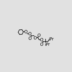 CC(C)CC(C)(C(=O)OCC(=O)OCC(=O)OCOC1CCCCC1)C(C)C